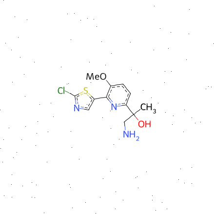 COc1ccc(C(C)(O)CN)nc1-c1cnc(Cl)s1